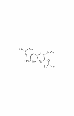 CCC(CC)Oc1nc(Br)c(-c2ccc(C(C)C)cc2OC)nc1NC